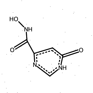 O=C(NO)c1cc(=O)[nH]cn1